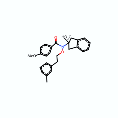 COc1ccc(C(=O)N(OCCc2cccc(C)c2)C2(C(=O)O)Cc3ccccc3C2)cc1